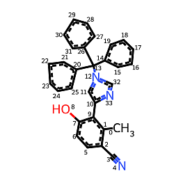 Cc1c(C#N)ccc(O)c1-c1cn(C(c2ccccc2)(c2ccccc2)c2ccccc2)cn1